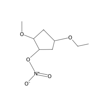 CCOC1CC(OC)C(O[N+](=O)[O-])C1